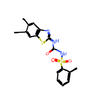 Cc1cc2nc(NC(=O)NS(=O)(=O)c3ccccc3C)sc2cc1C